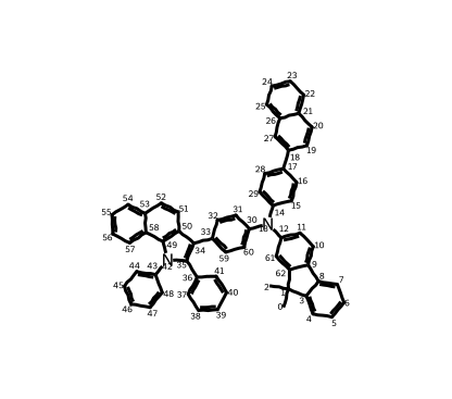 CC1(C)c2ccccc2-c2ccc(N(c3ccc(-c4ccc5ccccc5c4)cc3)c3ccc(-c4c(-c5ccccc5)n(-c5ccccc5)c5c4ccc4ccccc45)cc3)cc21